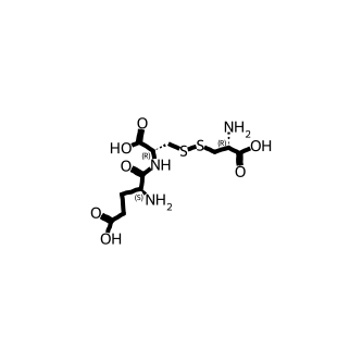 N[C@@H](CSSC[C@H](NC(=O)[C@@H](N)CCC(=O)O)C(=O)O)C(=O)O